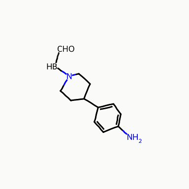 Nc1ccc(C2CCN(BC=O)CC2)cc1